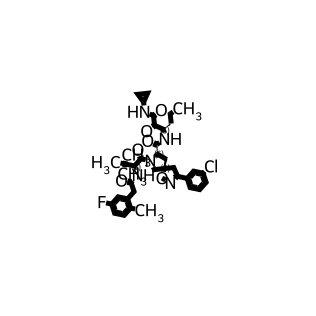 CCC[C@H](NC(=O)[C@@H]1C[C@]2(CC(c3cccc(Cl)c3)=NO2)CN1C(=O)[C@@H](NC(=O)Cc1cc(F)ccc1C)C(C)(C)C)C(=O)C(=O)NC1CC1